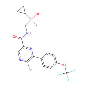 C[C@](O)(CNC(=O)c1cnc(Br)c(-c2ccc(OC(F)(F)F)cc2)n1)C1CC1